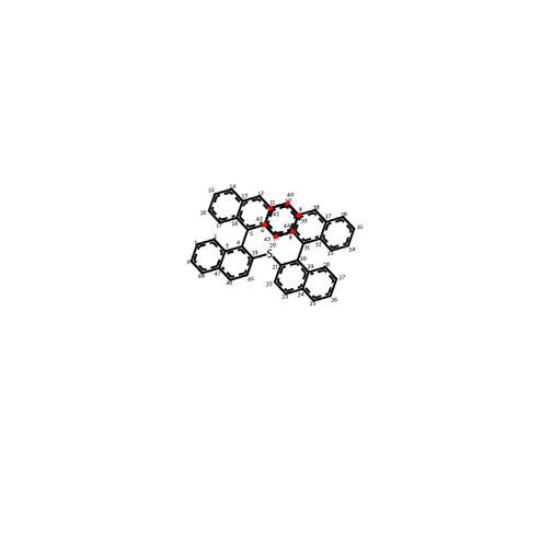 c1ccc2c(-c3c4ccccc4cc4ccccc34)c(Sc3ccc4ccccc4c3-c3c4ccccc4cc4ccccc34)ccc2c1